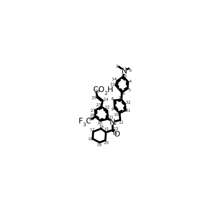 CN(C)c1ccc(-c2ccc(CN(C(=O)C3CCCCC3)c3cc(C=CC(=O)O)cc(C(F)(F)F)c3)cc2)cc1